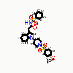 CC(C)Oc1ccc(S(=O)(=O)N2CCC(n3cc(CC(=O)NS(=O)(=O)c4ccccc4)c4ccccc43)CC2)cc1